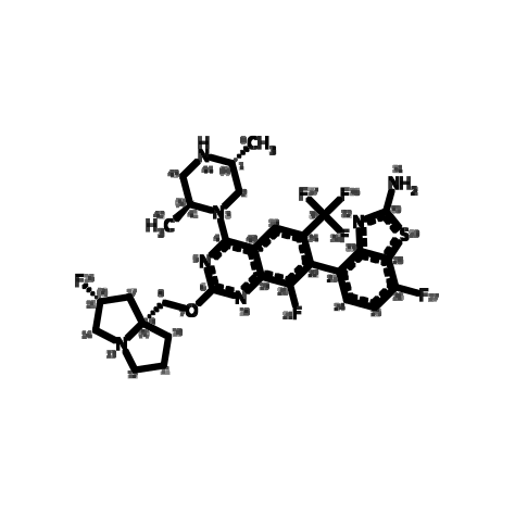 C[C@@H]1CN(c2nc(OC[C@]34CCCN3C[C@H](F)C4)nc3c(F)c(-c4ccc(F)c5sc(N)nc45)c(C(F)(F)F)cc23)[C@@H](C)CN1